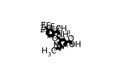 C[C@@H]1CN2C=C(C(=O)O)C=C(C(=O)N[C@H](C)c3cccc(C(F)(F)F)c3F)C2=N1